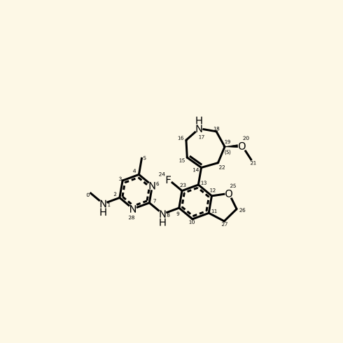 CNc1cc(C)nc(Nc2cc3c(c(C4=CCNC[C@@H](OC)C4)c2F)OCC3)n1